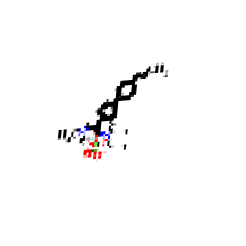 C=CCC1CCC(c2ccc(C(CN(C)C)=C(O[Cl+3]([O-])([O-])[O-])N(C)C)cc2)CC1